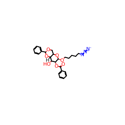 [N-]=[N+]=NCCCCCO[C@@H]1OC2COC(c3ccccc3)O[C@H]2C(O)[C@@H]1OC(=O)c1ccccc1